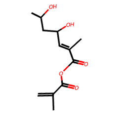 C=C(C)C(=O)OC(=O)C(C)=CC(O)CC(C)O